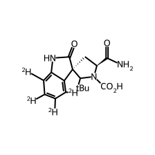 [2H]c1c([2H])c([2H])c2c(c1[2H])NC(=O)[C@]21C[C@@H](C(N)=O)N(C(=O)O)C1C(C)(C)C